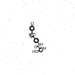 O=C(Nc1ccc(-c2nnc(-c3ccc(Cl)cc3)o2)cc1)[C@H]1NCC[C@@H]1O